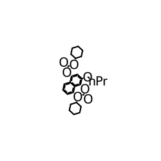 CCCOc1cc(OC(=O)OC2CCCCC2)c2ccccc2c1OC(=O)OC1CCCCC1